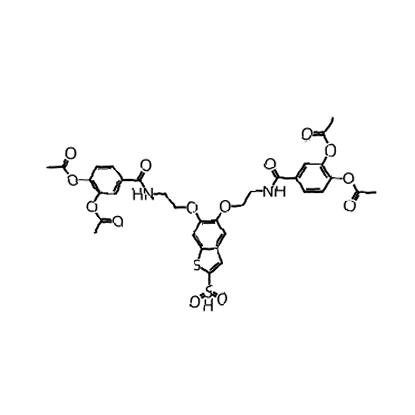 CC(=O)Oc1ccc(C(=O)NCCOc2cc3cc([SH](=O)=O)sc3cc2OCCNC(=O)c2ccc(OC(C)=O)c(OC(C)=O)c2)cc1OC(C)=O